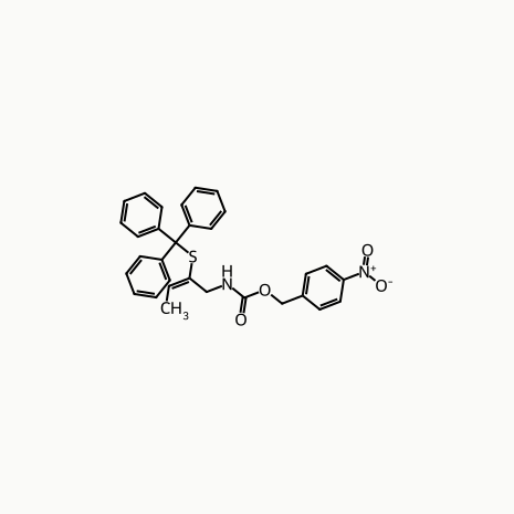 C/C=C(\CNC(=O)OCc1ccc([N+](=O)[O-])cc1)SC(c1ccccc1)(c1ccccc1)c1ccccc1